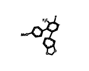 COc1ccc(-c2c(-c3ccc4c(c3)OCO4)c[c]c(F)c2C(F)(F)F)cc1